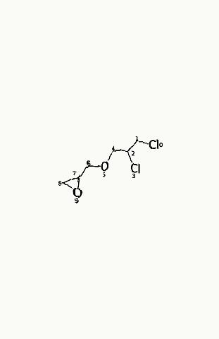 ClCC(Cl)COCC1CO1